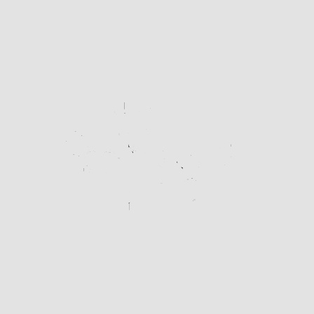 Fc1cccc(-c2c(C3CCCCC3)c(-n3c4ccccc4c4c5c(ccc43)oc3ccccc35)c(C3CCCCC3)c(-c3cccc(F)c3)c2-n2c3ccccc3c3c4c(ccc32)oc2ccccc24)c1